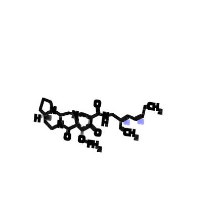 C=C/C=C\C=C(/C=C)CNC(=O)c1cn2c(c(OP)c1=O)C(=O)N1CC[C@H]3CCCN3C1C2